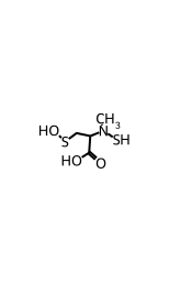 CN(S)C(CSO)C(=O)O